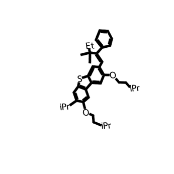 CCC(C)(C)C(=Cc1cc2sc3cc(C(C)C)c(OCCC(C)C)cc3c2cc1OCCC(C)C)c1ccccc1